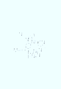 C=CC(=O)Nc1cc(Nc2ncnc(N3CC(C)(C)c4nc(C)ccc43)n2)c(OC)cc1N(C)C[C@@H]1CCCN1C